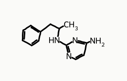 CC(Cc1ccccc1)Nc1nccc(N)n1